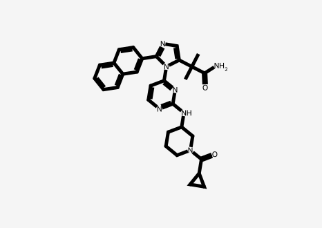 CC(C)(C(N)=O)c1cnc(-c2ccc3ccccc3c2)n1-c1ccnc(NC2CCCN(C(=O)C3CC3)C2)n1